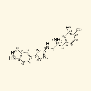 N[C@H](CNc1nnc(-c2ccc3[nH]ncc3c2)s1)Cc1ccc(F)c(F)c1